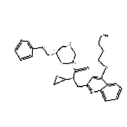 COCCCOc1cc(CN(C(=O)[C@H]2CNC[C@@H](COc3ccccc3)O2)C2CC2)nc2ccccc12